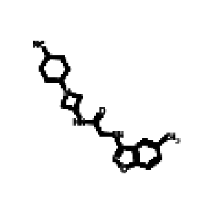 Cc1ccc2onc(NCC(=O)NC3CN(C4CCC(C#N)CC4)C3)c2c1